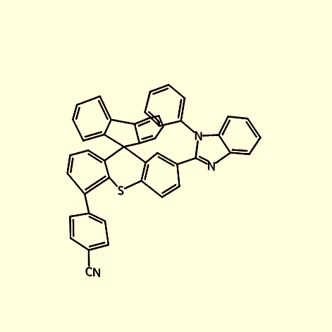 N#Cc1ccc(-c2cccc3c2Sc2ccc(-c4nc5ccccc5n4-c4ccccc4)cc2C32c3ccccc3-c3ccccc32)cc1